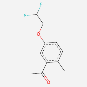 CC(=O)c1cc(OCC(F)F)ccc1C